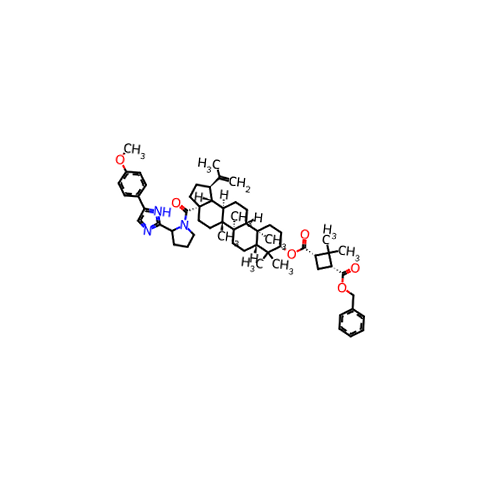 C=C(C)[C@@H]1CC[C@]2(C(=O)N3CCCC3c3ncc(-c4ccc(OC)cc4)[nH]3)CC[C@]3(C)[C@H](CC[C@@H]4[C@@]5(C)CC[C@H](OC(=O)[C@H]6C[C@@H](C(=O)OCc7ccccc7)C6(C)C)C(C)(C)[C@@H]5CC[C@]43C)[C@@H]12